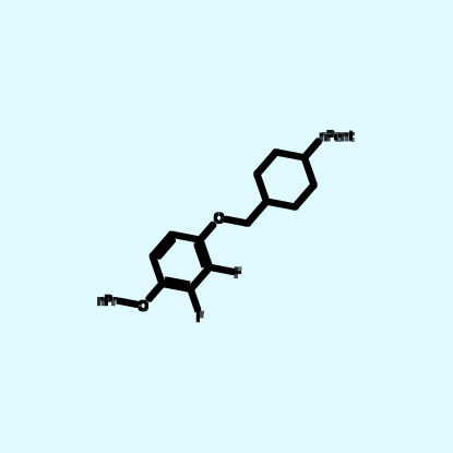 CCCCCC1CCC(COc2ccc(OCCC)c(F)c2F)CC1